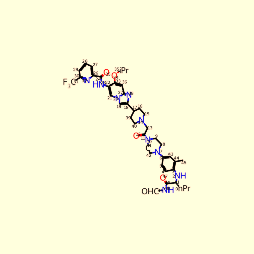 CCCC(Nc1ccc(N2CCN(C(=O)CN3CCC(c4cn5cc(NC(=O)c6cccc(C(F)(F)F)n6)c(OC(C)C)cc5n4)CC3)CC2)cc1C)C(=O)NC=O